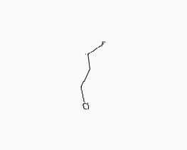 F[CH]CCCl